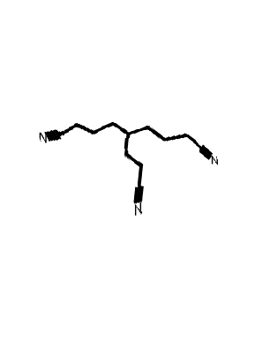 N#CCCCC(CCC#N)CCCC#N